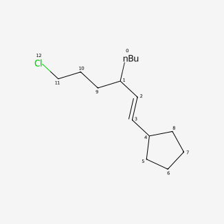 CCCCC(C=CC1CCCC1)CCCCl